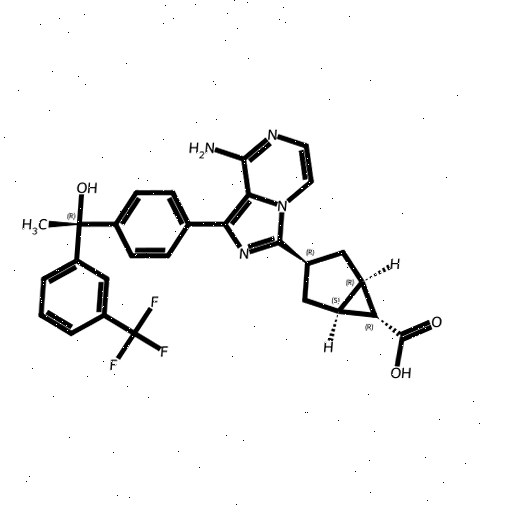 C[C@@](O)(c1ccc(-c2nc([C@H]3C[C@@H]4[C@H](C3)[C@H]4C(=O)O)n3ccnc(N)c23)cc1)c1cccc(C(F)(F)F)c1